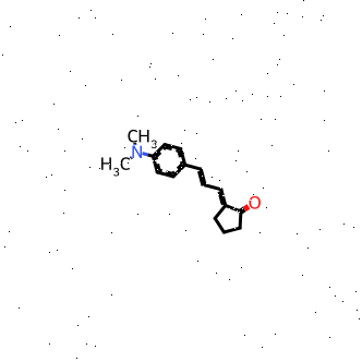 CN(C)c1ccc(/C=C/C=C2\CCCC2=O)cc1